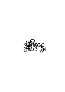 CNC(=O)[C@H]1CCCC[C@H]1C(=O)N1CCc2cccc(O[C@H]3CCN(C(=O)c4cncnc4)C3)c2[C@H]1CN1C(=O)c2ccccc2C1=O